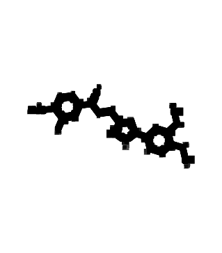 COc1ccc(C(=O)/C=C/c2cc(-c3ccc(CO)c(CO)c3)n[nH]2)cc1C